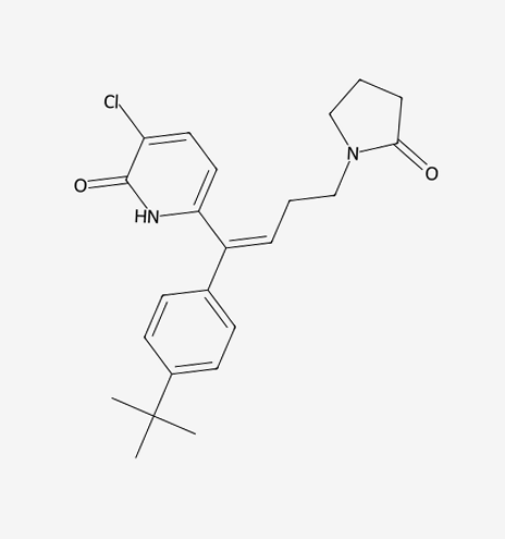 CC(C)(C)c1ccc(C(=CCCN2CCCC2=O)c2ccc(Cl)c(=O)[nH]2)cc1